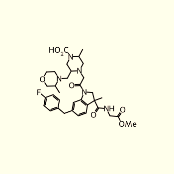 COC(=O)CNC(=O)C1(C)CN(C(=O)CN2CC(C)N(C(=O)O)CC2CN2CCOCC2C)c2cc(Cc3ccc(F)cc3)ccc21